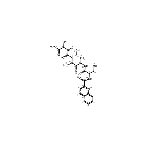 CSC(=O)C(C(C)C)N(C)C(=O)[C@H](CS)N(C)C(=O)C(C)NC(=O)C(CO)NC(=O)c1cnc2ccccc2n1